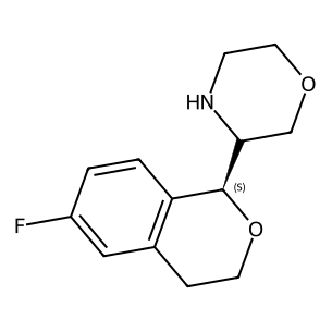 Fc1ccc2c(c1)CCO[C@@H]2C1COCCN1